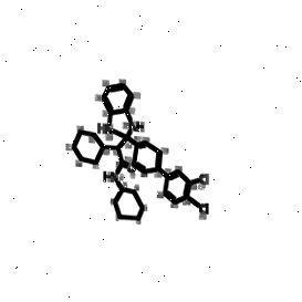 O=C(NC1CCCCC1)C(C1CCCCC1)C1(c2ccc(-c3ccc(Cl)c(Cl)c3)cc2)Nc2ccccc2N1